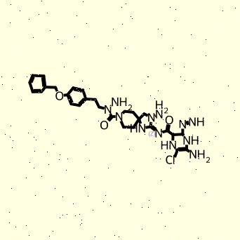 N=NC1NC(N)=C(Cl)NC1C(=O)/N=C1/NC2(CCN(C(=O)N(N)CCc3ccc(OCc4ccccc4)cc3)CC2)CN1N